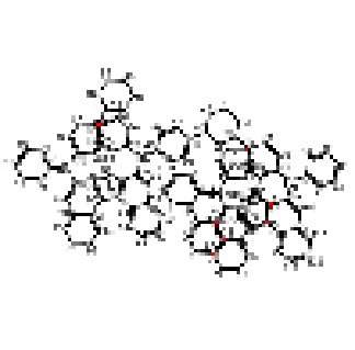 c1ccc(-c2ccccc2N(c2ccccc2)c2cc3ccccc3c3c2sc2c(N(c4ccccc4)c4ccc(C5CCCC(c6ccc(N(c7ccccc7)c7cc8ccccc8c8c7sc7c(N(c9ccccc9)c9ccc(C%10CCCCC%10)cc9)cc9ccccc9c78)cc6)C5)cc4-c4ccccc4)cc4ccccc4c23)cc1